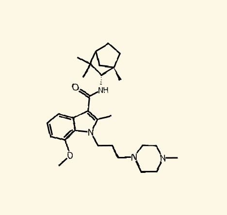 COc1cccc2c(C(=O)N[C@@H]3C(C)(C)C4CC[C@@]3(C)C4)c(C)n(CCCN3CCN(C)CC3)c12